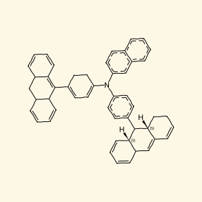 C1=CC2=C(C3=CC=C(N(c4ccc(C5[C@H]6C=CC=CC6C=C6C=CCC[C@H]65)cc4)c4ccc5ccccc5c4)CC3)C3C=CC=CC3CC2C=C1